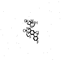 O=c1nc(N2CCN[C@@H]3C[S+]([O-])CC32)c2cc(Cl)c(-c3ccc(F)cc3F)c3c2n1CCS3